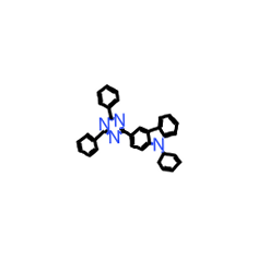 C1=CCC(n2c3ccccc3c3cc(-c4nc(-c5ccccc5)nc(-c5ccccc5)n4)ccc32)C=C1